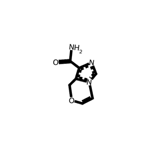 NC(=O)c1ncn2c1COC=C2